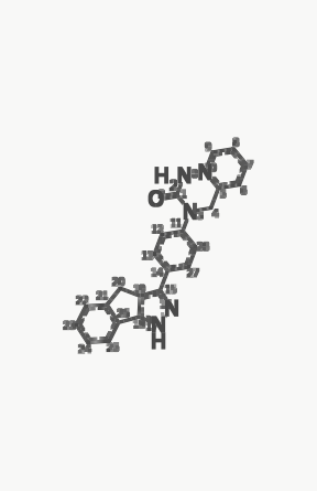 NC(=O)N(Cc1ccccn1)c1ccc(-c2n[nH]c3c2Cc2ccccc2-3)cc1